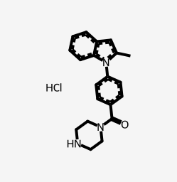 Cc1cc2ccccc2n1-c1ccc(C(=O)N2CCNCC2)cc1.Cl